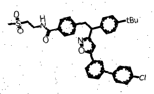 CC(C)(C)c1ccc(C(Cc2ccc(C(=O)NCCS(C)(=O)=O)cc2)c2cc(-c3cccc(-c4ccc(Cl)cc4)c3)on2)cc1